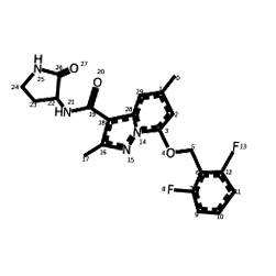 Cc1cc(OCc2c(F)cccc2F)n2nc(C)c(C(=O)NC3CCNC3=O)c2c1